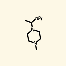 CCCC(C)N1CCN(C)CC1